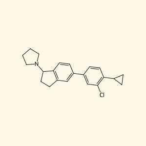 Clc1cc(-c2ccc3c(c2)CCC3N2CCCC2)ccc1C1CC1